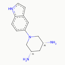 N[C@@H]1C[C@H](N)CN(c2ccc3[nH]ccc3c2)C1